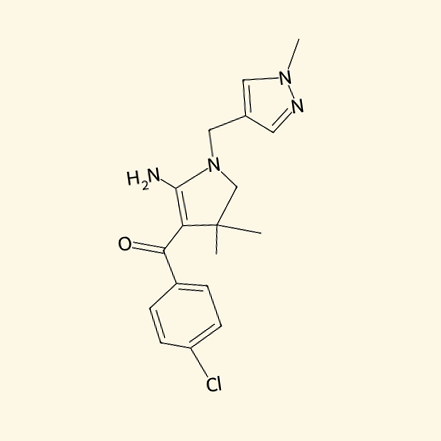 Cn1cc(CN2CC(C)(C)C(C(=O)c3ccc(Cl)cc3)=C2N)cn1